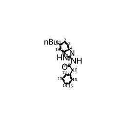 CCCCc1ccc2nc(NC(=O)Cc3ccccc3)[nH]c2c1